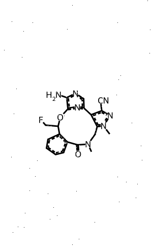 CN1Cc2c(c(C#N)nn2C)-c2cnc(N)c(n2)OC(CF)c2ccccc2C1=O